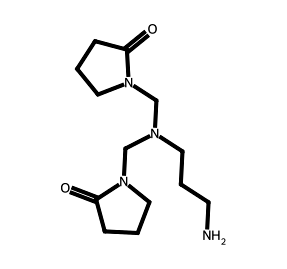 NCCCN(CN1CCCC1=O)CN1CCCC1=O